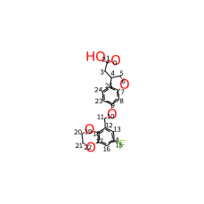 O=C(O)CC1COc2cc(OCc3cc(F)cc4c3OCCO4)ccc21